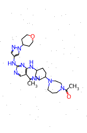 CC(=N)c1cnc(Nc2cnn(C3CCOCC3)c2)nc1NC1CCC(N2CCCN(C(C)=O)CC2)CC1